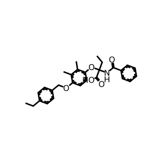 CCc1ccc(COc2ccc(OC(CC)(NC(=O)c3ccccc3)C(=O)O)c(C)c2C)cc1